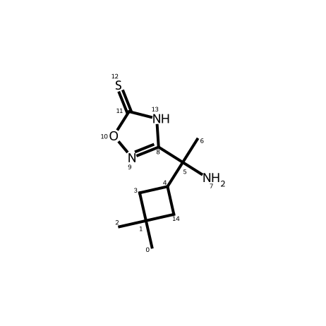 CC1(C)CC(C(C)(N)c2noc(=S)[nH]2)C1